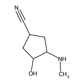 CNC1CC(C#N)CC1O